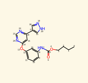 CCCCOC(=O)Nc1cccc(Oc2cc(-c3cn[nH]c3)ncn2)c1